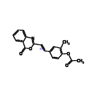 CC(=O)Oc1ccc(/C=C/c2nc3ccccc3c(=O)o2)cc1C